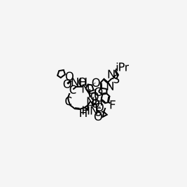 CC(C)c1csc(-c2cc(O[C@@H]3C[C@H]4C(=O)N[C@]5(C(=O)NS(=O)(=O)C6(C)CC6)C[C@H]5/C=C\CCCCC[C@H](NC(=O)OC5CCCC5)C(=O)N4C3)c3oc4ccc(F)cc4c3n2)n1